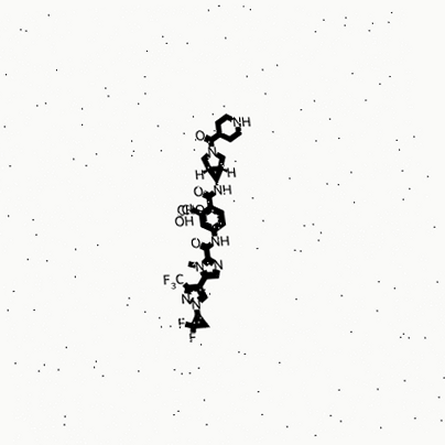 Cn1c(-c2cn(C3CC3(F)F)nc2C(F)(F)F)cnc1C(=O)Nc1ccc(C(=O)N[C@H]2[C@@H]3CN(C(=O)C4CCNCC4)C[C@@H]32)c(Cl)c1.O=CO